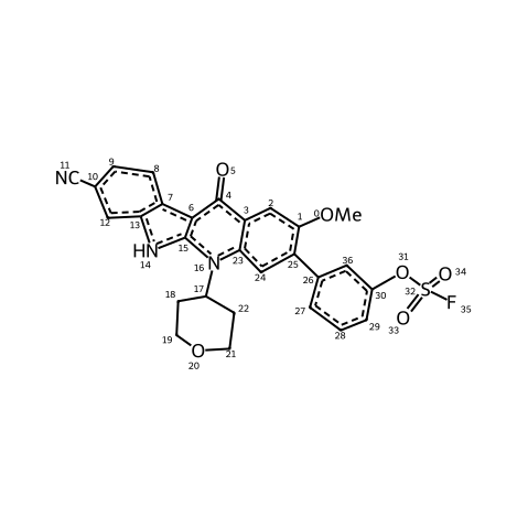 COc1cc2c(=O)c3c4ccc(C#N)cc4[nH]c3n(C3CCOCC3)c2cc1-c1cccc(OS(=O)(=O)F)c1